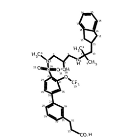 CN(CC(O)CNC(C)(C)CC1Cc2ccccc2C1)S(=O)(=O)c1ccc(-c2cccc(CCC(=O)O)c2)cc1OC(F)(F)F